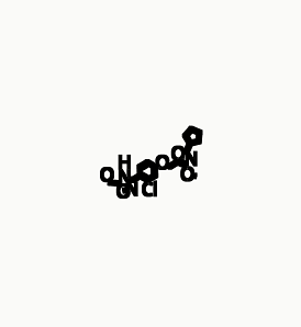 COc1nc(C2CCCC2)oc1COc1ccc(C2=NOC(C=O)N2)c(Cl)c1